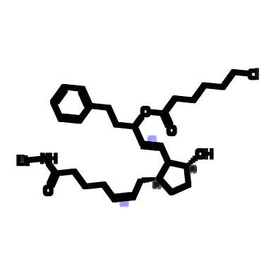 CCNC(=O)CCC/C=C\C[C@H]1CC[C@@H](O)C1/C=C/C(CCc1ccccc1)OC(=O)CCCCCCl